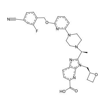 C[C@@H](c1nc2ccc(C(=O)O)nc2n1C[C@@H]1CCO1)N1CCN(c2cccc(OCc3ccc(C#N)cc3F)n2)CC1